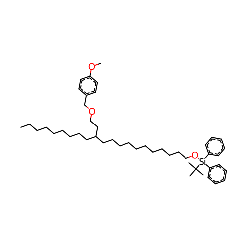 CCCCCCCCCC(CCCCCCCCCCCO[Si](c1ccccc1)(c1ccccc1)C(C)(C)C)CCOCc1ccc(OC)cc1